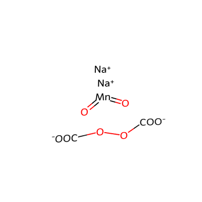 O=C([O-])OOC(=O)[O-].[Na+].[Na+].[O]=[Mn]=[O]